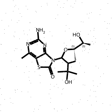 Cc1nc(N)nc2c1sc(=O)n2C1O[C@H]([C@H](C)O)CC1C(C)(C)O